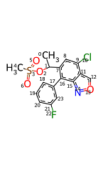 CC(OS(C)(=O)=O)c1cc(Cl)c2conc2c1-c1cccc(F)c1